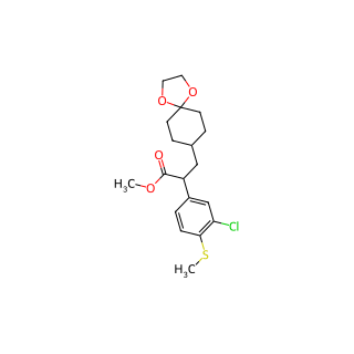 COC(=O)C(CC1CCC2(CC1)OCCO2)c1ccc(SC)c(Cl)c1